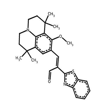 COc1c(/C=C(\C=O)c2nc3ccccc3s2)cc2c3c1C(C)(C)CCN3CCC2(C)C